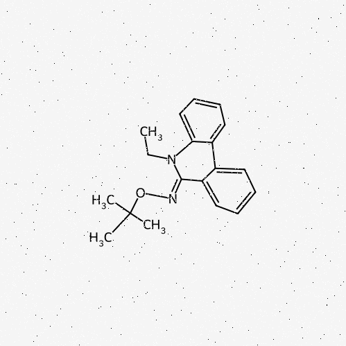 CCn1/c(=N\OC(C)(C)C)c2ccccc2c2ccccc21